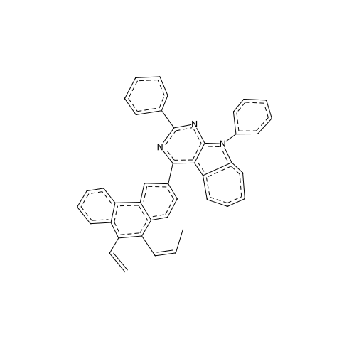 C=Cc1c(/C=C\C)c2ccc(-c3nc(-c4ccccc4)nc4c3c3ccccc3n4-c3ccccc3)cc2c2ccccc12